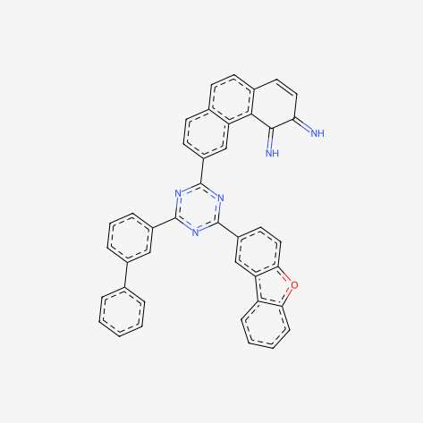 N=C1C=Cc2ccc3ccc(-c4nc(-c5cccc(-c6ccccc6)c5)nc(-c5ccc6oc7ccccc7c6c5)n4)cc3c2C1=N